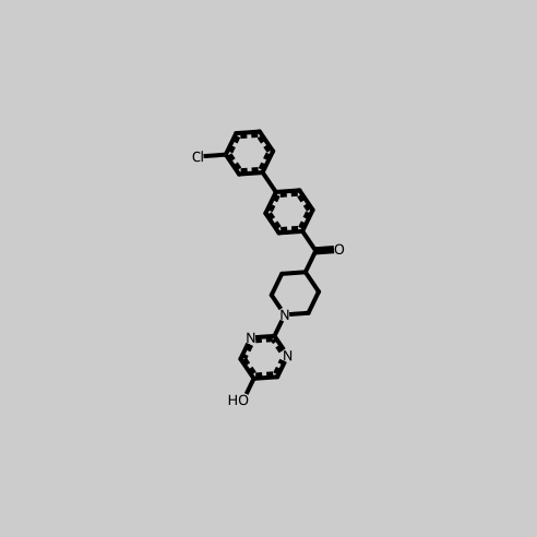 O=C(c1ccc(-c2cccc(Cl)c2)cc1)C1CCN(c2ncc(O)cn2)CC1